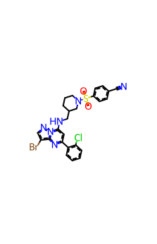 N#Cc1ccc(S(=O)(=O)N2CCCC(CNc3cc(-c4ccccc4Cl)nc4c(Br)cnn34)C2)cc1